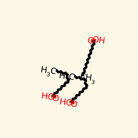 CCCCC/C=C\C/C=C\CCCCCCCC(=O)O.CCCCC/C=C\C/C=C\CCCCCCCC(=O)O.CCCCCCCCCCCCCCCC(=O)O